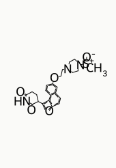 C[S+]([O-])N1CCN(CCOc2ccc3c(ccc4occ(C5CCC(=O)NC5=O)c43)c2)CC1